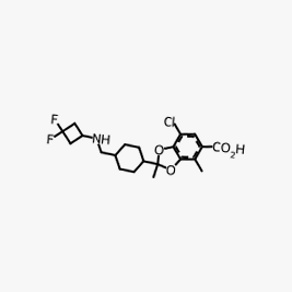 Cc1c(C(=O)O)cc(Cl)c2c1OC(C)(C1CCC(CNC3CC(F)(F)C3)CC1)O2